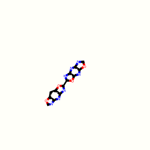 c1nc2nc3nc(-c4nc5nc6ncoc6nc5o4)oc3cc2o1